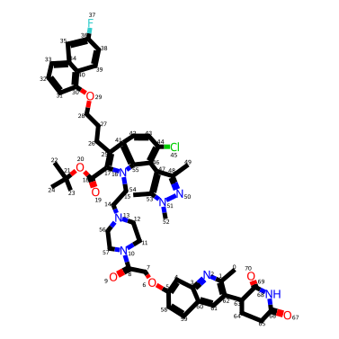 Cc1nc2cc(OCC(=O)N3CCN(CCn4c(C(=O)OC(C)(C)C)c(CCCOc5cccc6cc(F)ccc56)c5ccc(Cl)c(-c6c(C)nn(C)c6C)c54)CC3)ccc2cc1C1CCC(=O)NC1=O